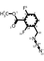 COC(=O)c1c(F)ccc(CN=[N+]=[N-])c1F